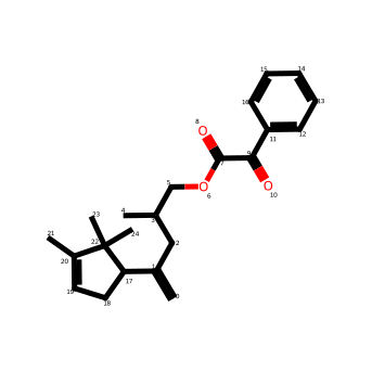 C=C(CC(C)COC(=O)C(=O)c1ccccc1)C1CC=C(C)C1(C)C